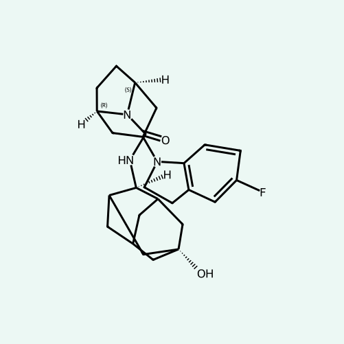 O=C(N[C@H]1C2CC3CC1C[C@](O)(C3)C2)N1[C@@H]2CC[C@H]1CC(N1CCc3cc(F)ccc31)C2